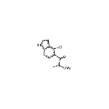 CON(C)C(=O)c1cnc2[nH]ccc2c1Cl